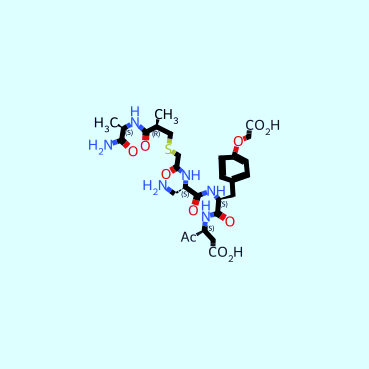 CC(=O)[C@H](CC(=O)O)NC(=O)[C@H](Cc1ccc(OCC(=O)O)cc1)NC(=O)[C@H](CN)NC(=O)CSC[C@H](C)C(=O)N[C@@H](C)C(N)=O